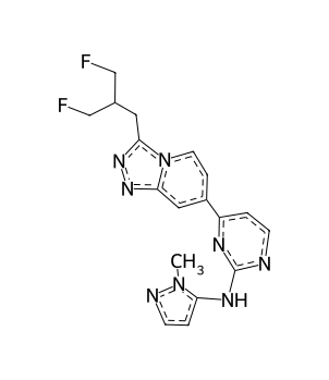 Cn1nccc1Nc1nccc(-c2ccn3c(CC(CF)CF)nnc3c2)n1